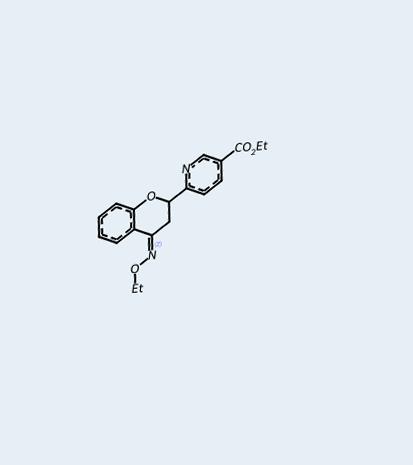 CCO/N=C1/CC(c2ccc(C(=O)OCC)cn2)Oc2ccccc21